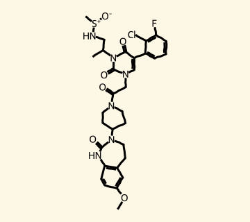 COc1ccc2c(c1)CCN(C1CCN(C(=O)Cn3cc(-c4cccc(F)c4Cl)c(=O)n(C(C)CN[S+](C)[O-])c3=O)CC1)C(=O)N2